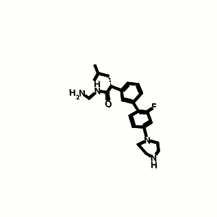 CC(C)C[C@@H](C(=O)NCN)c1cccc(-c2ccc(N3CCNCC3)cc2F)c1